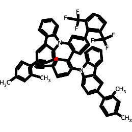 Cc1ccc(-c2ccc3c(c2)c2ccccc2n3-c2ccc(C#N)cc2-c2ccc(-c3c(C(F)(F)F)cccc3C(F)(F)F)cc2-n2c3ccccc3c3cc(-c4ccc(C)cc4C)ccc32)c(C)c1